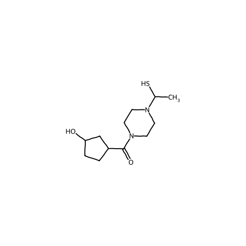 CC(S)N1CCN(C(=O)C2CCC(O)C2)CC1